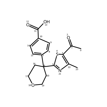 CC(=O)c1sc(C2(c3ccc(C(=O)O)cc3)CCOCC2)nc1C